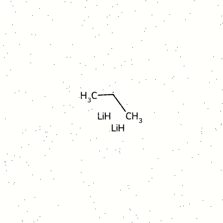 C[CH]C.[LiH].[LiH]